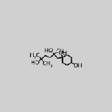 CC(C)(O)CCC(C)(O)CC1(O)CCC(O)CC1